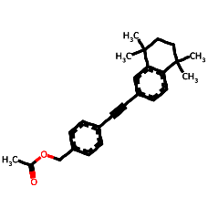 CC(=O)OCc1ccc(C#Cc2ccc3c(c2)C(C)(C)CCC3(C)C)cc1